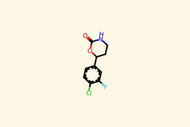 O=C1NCCC(c2ccc(Cl)c(F)c2)O1